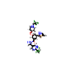 Cc1cnc(-c2cc(OC3CCN(CC(F)(F)F)CC3)cc(C(=O)NC(C)c3cnc(C(F)(F)F)nc3)c2)s1